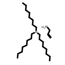 C=C[CH2][AlH2].CCCCCCC[CH2][Al]([CH2]CCCCCCC)[CH2]CCCCCCC